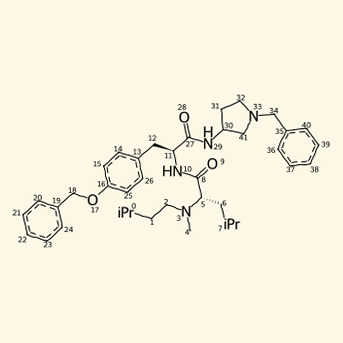 CC(C)CCN(C)[C@@H](CC(C)C)C(=O)N[C@@H](Cc1ccc(OCc2ccccc2)cc1)C(=O)NC1CCN(Cc2ccccc2)C1